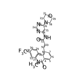 CN(C(=O)c1cccc(/C=C/C(=O)Nc2cc(N3CCOCC3)ncn2)c1)c1cccc(C(F)(F)F)c1